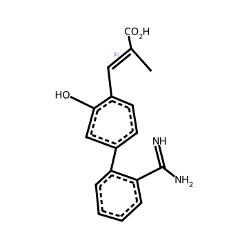 C/C(=C\c1ccc(-c2ccccc2C(=N)N)cc1O)C(=O)O